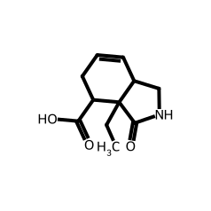 CCC12C(=O)NCC1C=CCC2C(=O)O